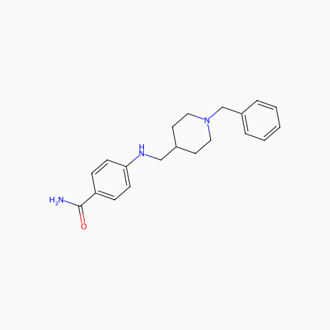 NC(=O)c1ccc(NCC2CCN(Cc3ccccc3)CC2)cc1